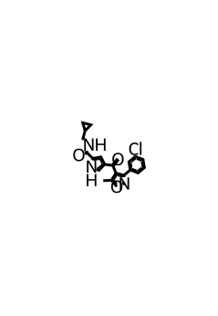 Cc1onc(-c2cccc(Cl)c2)c1C(=O)c1c[nH]c(C(=O)NCC2CC2)c1